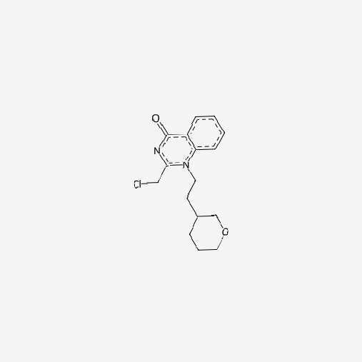 O=c1nc(CCl)n(CCC2CCCOC2)c2ccccc12